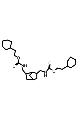 O=C(NCC1CC2CC(CNC(=O)OCCC3CCCCC3)C1C2)OCCC1CCCCC1